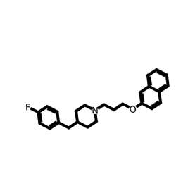 Fc1ccc(CC2CCN(CCCOc3ccc4ccccc4c3)CC2)cc1